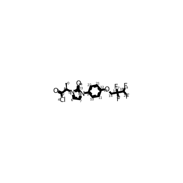 C[C@H](C(=O)Cl)n1ccn(-c2ccc(OCC(F)(F)C(F)F)cc2)c1=O